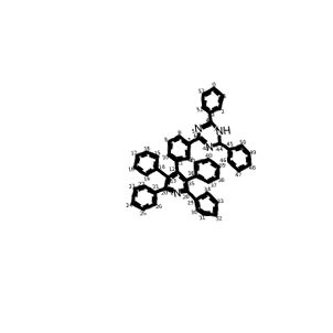 c1ccc(C2=NC(c3cccc(-c4c(-c5ccccc5)c(-c5ccccc5)nc(-c5ccccc5)c4-c4ccccc4)c3)=NC(c3ccccc3)N2)cc1